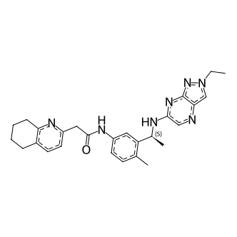 CCn1cc2ncc(N[C@@H](C)c3cc(NC(=O)Cc4ccc5c(n4)CCCC5)ccc3C)nc2n1